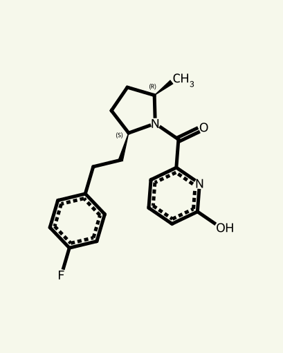 C[C@@H]1CC[C@H](CCc2ccc(F)cc2)N1C(=O)c1cccc(O)n1